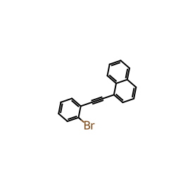 Brc1ccccc1C#Cc1cccc2ccccc12